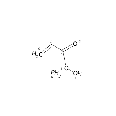 C=CC(=O)OO.P